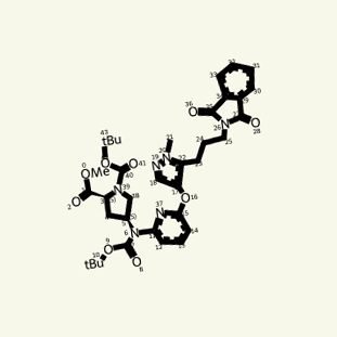 COC(=O)[C@@H]1C[C@H](N(C(=O)OC(C)(C)C)c2cccc(Oc3cnn(C)c3CCCN3C(=O)c4ccccc4C3=O)n2)CN1C(=O)OC(C)(C)C